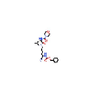 CC(C)C[C@H](NC(=O)N1CCOCC1)C(=O)NCCCCC(C#N)NC(=O)OCc1ccccc1